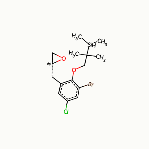 C[SiH](C)C(C)(C)COc1c(Br)cc(Cl)cc1C[C@@H]1CO1